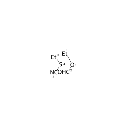 CCOC=O.CCSC#N